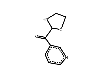 O=C(c1cccnc1)C1NCCO1